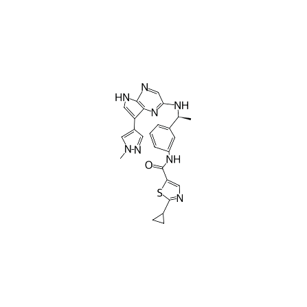 C[C@H](Nc1cnc2[nH]cc(-c3cnn(C)c3)c2n1)c1cccc(NC(=O)c2cnc(C3CC3)s2)c1